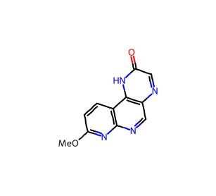 COc1ccc2c(ncc3ncc(=O)[nH]c32)n1